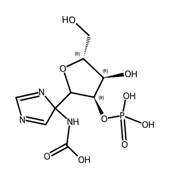 O=C(O)NC1(C2O[C@H](CO)[C@@H](O)[C@H]2OP(=O)(O)O)C=NC=N1